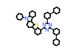 c1ccc(-c2cccc(-c3nc(-c4cccc(-c5ccccc5)c4)nc(-c4cccc5c4sc4c5ccc5c4c4ccccc4n5-c4ccccc4)n3)c2)cc1